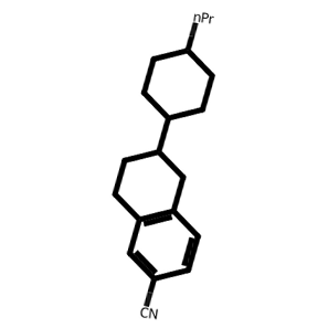 CCCC1CCC(C2CCc3cc(C#N)ccc3C2)CC1